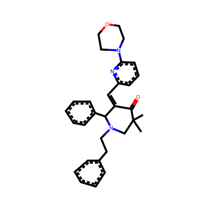 CC1(C)CN(CCc2ccccc2)C(c2ccccc2)C(=Cc2cccc(N3CCOCC3)n2)C1=O